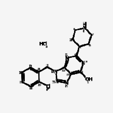 Cl.Oc1nc(C2CCNCC2)nc2c1nnn2Cc1ccccc1Cl